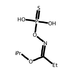 CCC(=NOP(O)(O)=S)OC(C)C